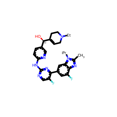 CCN1CC=C([C@H](O)c2ccc(Nc3ncc(F)c(-c4cc(F)c5nc(C)n(C(C)C)c5c4)n3)nc2)CC1